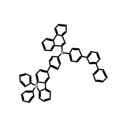 c1ccc(-c2cccc(-c3ccc(N(c4ccc(-c5ccc6c(c5)-c5ccccc5[Si]6(c5ccccc5)c5ccccc5)cc4)c4cc5ccccc5c5ccccc45)cc3)c2)cc1